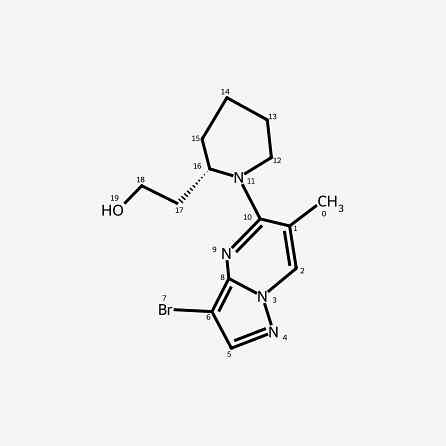 Cc1cn2ncc(Br)c2nc1N1CCCC[C@H]1CCO